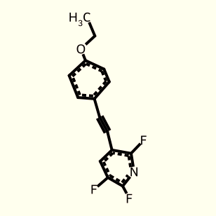 CCOc1ccc(C#Cc2cc(F)c(F)nc2F)cc1